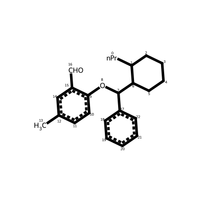 CCCC1CCCCC1C(Oc1ccc(C)cc1C=O)c1ccccc1